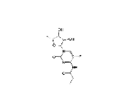 CCC(=O)Nc1nc(=O)n([C@@H]2O[C@H](C)C(O)C2O)cc1F